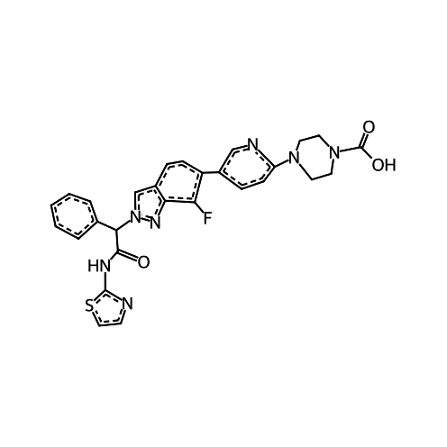 O=C(Nc1nccs1)C(c1ccccc1)n1cc2ccc(-c3ccc(N4CCN(C(=O)O)CC4)nc3)c(F)c2n1